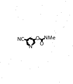 CNC(=O)Oc1cncc(C#N)c1